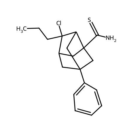 CCCC1(Cl)C2CC3(c4ccccc4)CC1C(C(N)=S)(C2)C3